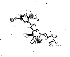 COC(=O)C(CNc1cc(Br)cnc1[N+](=O)[O-])OCOCC[Si](C)(C)C